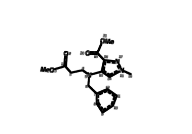 COC(=O)CCN(Cc1ccccc1)c1cn(C)nc1C(=O)OC